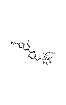 Cc1cn2cc(-c3ncc4nc(N(C)C5[C@@H]6CC[C@H]5CNC6)sc4n3)cc(F)c2n1